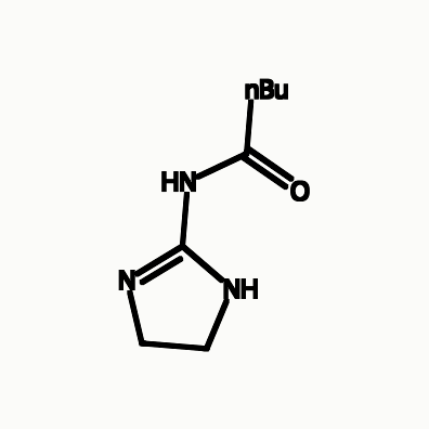 CCCCC(=O)NC1=NCCN1